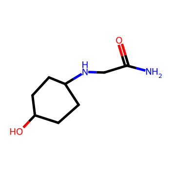 NC(=O)CNC1CCC(O)CC1